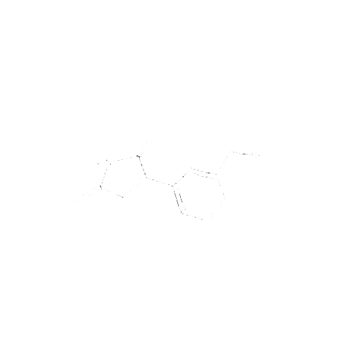 NCc1cccc(C2=CC(=O)NC2=O)c1